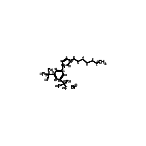 CCCCCCCn1cc[n+](-c2cc(C(F)(F)F)cc(C(F)(F)F)c2)c1.[Br-]